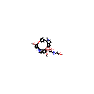 COCCCNCC(O)COc1c(OC)cc2c3c1Oc1cc4c(cc1OC)CCN(C)[C@H]4Cc1ccc(cc1)Oc1cc(ccc1OC)C[C@@H]3N(C)CC2